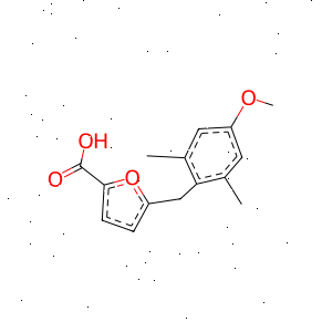 COc1cc(C)c(Cc2ccc(C(=O)O)o2)c(C)c1